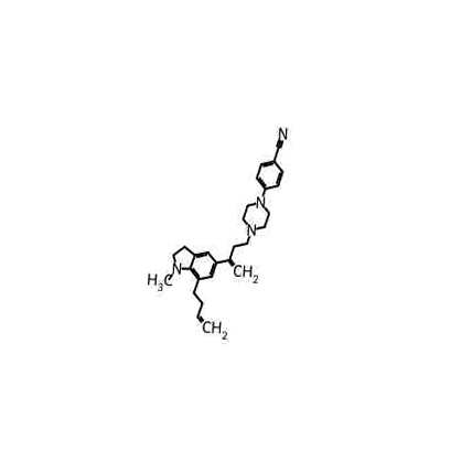 C=CCCc1cc(C(=C)CCN2CCN(c3ccc(C#N)cc3)CC2)cc2c1N(C)CC2